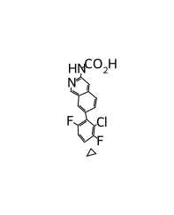 C1CC1.O=C(O)Nc1cc2ccc(-c3c(F)ccc(F)c3Cl)cc2cn1